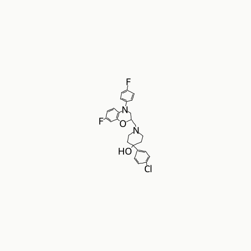 OC1(c2ccc(Cl)cc2)CCN(CC2CN(c3ccc(F)cc3)c3ccc(F)cc3O2)CC1